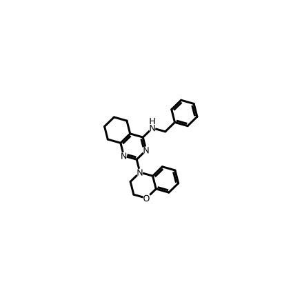 c1ccc(CNc2nc(N3CCOc4ccccc43)nc3c2CCCC3)cc1